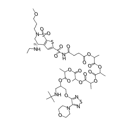 CCN[C@@H]1CN(CCCOC)S(=O)(=O)c2sc(S(=O)(=O)NC(=O)CCC(=O)OC(C)C(=O)OC(C)C(=O)OC(C)C(=O)OC(C)C(=O)OC(C)C(=O)OC(CNC(C)(C)C)COc3nsnc3N3CCOCC3)cc21